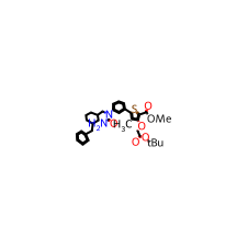 COC(=O)c1sc(-c2cccc(N(CC3CCCC(Cc4ccccc4)C3)C(N)=O)c2)c(C)c1OCC(=O)OC(C)(C)C